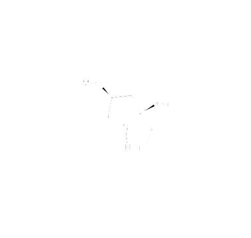 CO[C@@H]1CN(C(=O)O)[C@](CO)(C(C)(C)C)C1